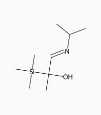 CC(C)N=CC(C)(O)[Si](C)(C)C